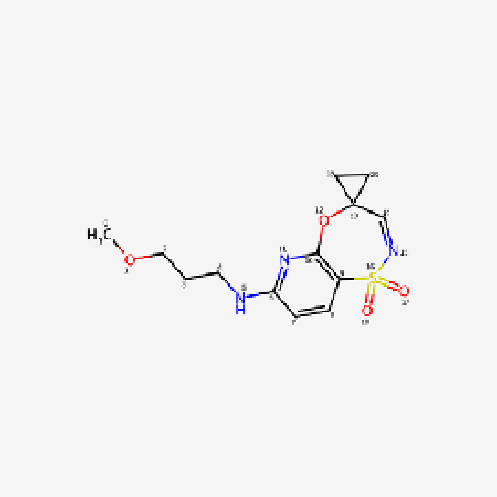 COCCCNc1ccc2c(n1)OC1(C=NS2(=O)=O)CC1